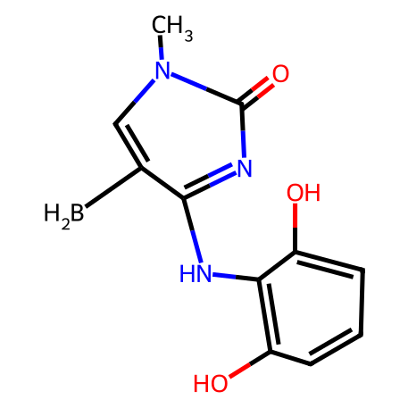 Bc1cn(C)c(=O)nc1Nc1c(O)cccc1O